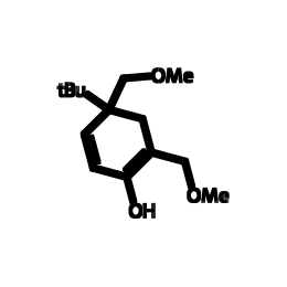 COCC1=C(O)C=CC(COC)(C(C)(C)C)C1